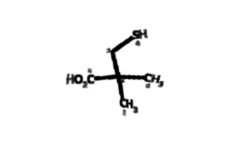 CC(C)(CS)C(=O)O